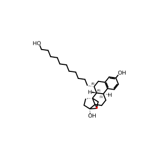 C[C@]12CC[C@@H]3c4ccc(O)cc4C[C@@H](CCCCCCCCCCCO)[C@H]3[C@]13CC[C@]2(O)CC3